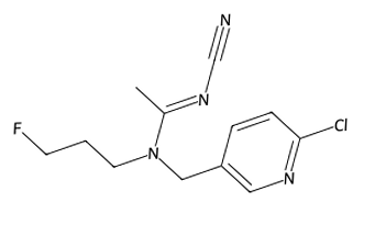 CC(=NC#N)N(CCCF)Cc1ccc(Cl)nc1